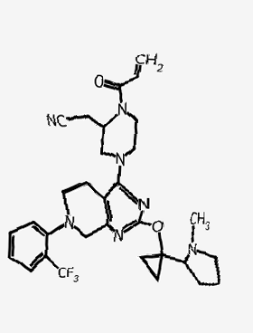 C=CC(=O)N1CCN(c2nc(OC3(C4CCCN4C)CC3)nc3c2CCN(c2ccccc2C(F)(F)F)C3)CC1CC#N